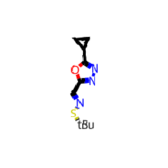 CC(C)(C)S/N=C/c1nnc(C2CC2)o1